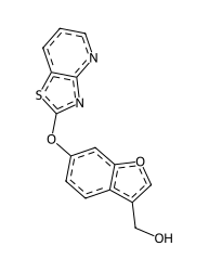 OCc1coc2cc(Oc3nc4ncccc4s3)ccc12